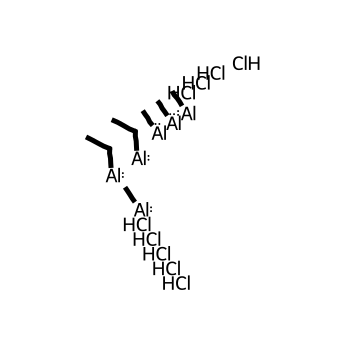 C[CH2][Al].C[CH2][Al].Cl.Cl.Cl.Cl.Cl.Cl.Cl.Cl.Cl.[CH3][Al].[CH3][Al].[CH3][Al].[CH3][Al]